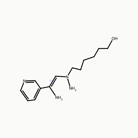 N/C(=C\N(N)CCCCCCO)c1cccnc1